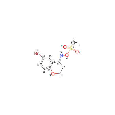 CS(=O)(=O)ON=C1CCOc2ccc(Br)cc21